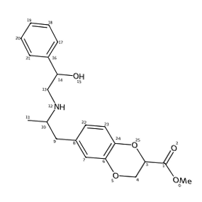 COC(=O)C1COc2cc(CC(C)NCC(O)c3ccccc3)ccc2O1